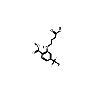 COC(=O)CCCNc1cc(C(F)(F)F)ccc1C(=O)OC